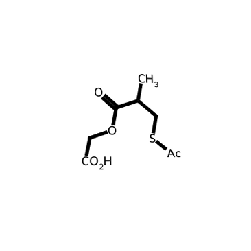 CC(=O)SCC(C)C(=O)OCC(=O)O